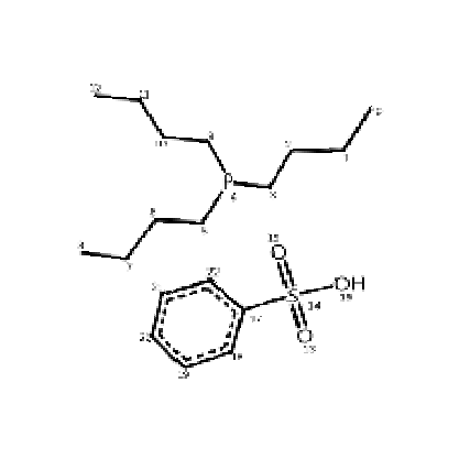 CCCCP(CCCC)CCCC.O=S(=O)(O)c1ccccc1